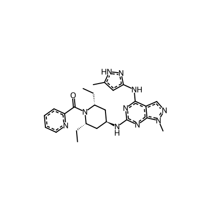 CC[C@@H]1C[C@@H](Nc2nc(Nc3cc(C)[nH]n3)c3cnn(C)c3n2)C[C@H](CC)N1C(=O)c1ccccn1